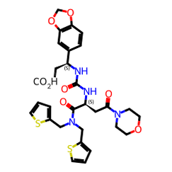 O=C(O)C[C@H](NC(=O)N[C@@H](CC(=O)N1CCOCC1)C(=O)N(Cc1cccs1)Cc1cccs1)c1ccc2c(c1)OCO2